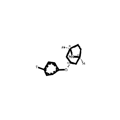 Fc1ccc(O[C@@H]2C[C@H]3CC[C@@H](C2)N3)cc1